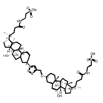 C[C@H](CCC(=O)NCCS(=O)(=O)O)[C@H]1CC[C@H]2[C@@H]3[C@@H](O)CC4C[C@H](n5cc(CO[C@@H]6CC[C@@]7(C)C(C6)C[C@@H](O)[C@H]6[C@@H]8CC[C@H]([C@@H](C)CCC(=O)NCCS(=O)(=O)O)[C@@]8(C)CC[C@@H]67)nn5)CC[C@]4(C)[C@H]3CC[C@]12C